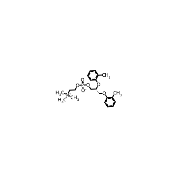 Cc1ccccc1OC[C@H](COP(=O)([O-])OCC[N+](C)(C)C)Oc1ccccc1C